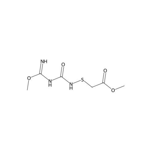 COC(=N)NC(=O)NSCC(=O)OC